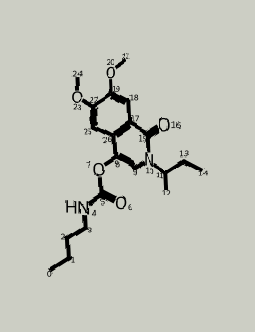 CCCCNC(=O)Oc1cn(C(C)CC)c(=O)c2cc(OC)c(OC)cc12